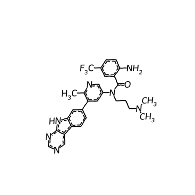 Cc1ncc(N(CCCN(C)C)C(=O)c2cc(C(F)(F)F)ccc2N)cc1-c1ccc2c(c1)[nH]c1ncncc12